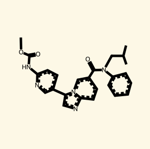 COC(=O)Nc1ccc(-c2cnc3ccc(C(=O)N(CC(C)C)c4ccccc4)cn23)cn1